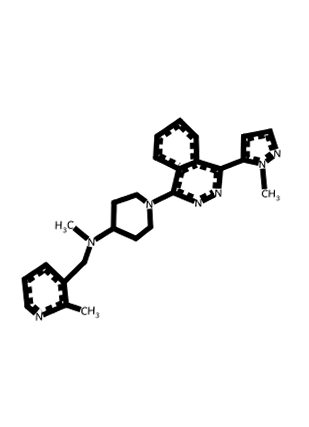 Cc1ncccc1CN(C)C1CCN(c2nnc(-c3ccnn3C)c3ccccc23)CC1